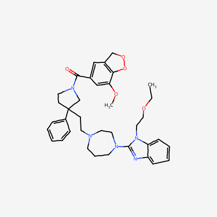 CCOCCn1c(N2CCCN(CCC3(c4ccccc4)CCN(C(=O)c4cc5c(c(OC)c4)OOC5)C3)CC2)nc2ccccc21